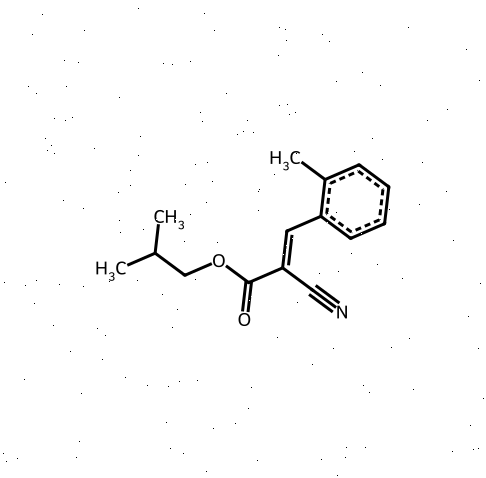 Cc1ccccc1/C=C(\C#N)C(=O)OCC(C)C